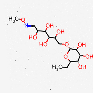 CCC1O[C@H](OCC(O)[C@@H](O)C(O)C(O)/C=N/OC)C(O)C(O)[C@@H]1O